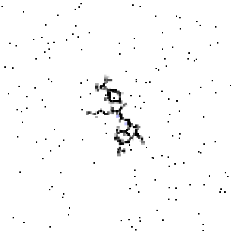 CCCCN1/C(=C/C=C2/SC(=S)N(CC(=O)O)C2=O)Sc2ccc(C(=O)O)cc21